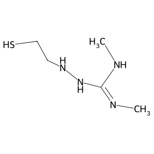 C/N=C(\NC)NNCCS